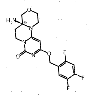 N[C@]12CCn3c(cc(OCc4cc(F)c(F)cc4F)nc3=O)N1CCOC2